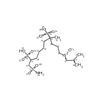 CC(C)C[S+]([O-])CCCC(C)(CCCCC(CS(N)(=O)=O)S(=O)(=O)O)S(=O)(=O)O